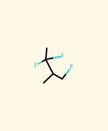 CC(CF)C(C)(F)F